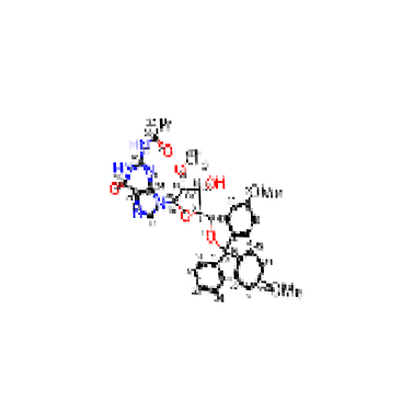 COc1ccc(C(OC[C@H]2O[C@@H](n3cnc4c(=O)[nH]c(NC(=O)C(C)C)nc43)[C@H](OC(F)(F)F)[C@@H]2O)(c2ccccc2)c2ccc(OC)cc2)cc1